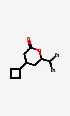 CCC(CC)C1CC(C2CCC2)CC(=O)O1